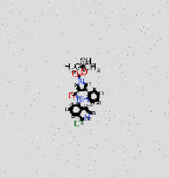 CC(C)(C)OC(=O)N1C[C@H](C(=O)Nc2cccc3c(Cl)nccc23)[C@@H](c2ccccc2)C1